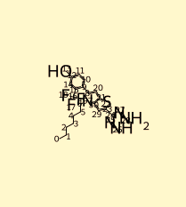 CCCCCCCn1c(-c2ccc(O)cc2C(F)(F)F)cc2sc(/C(N=N)=N/N)cc21